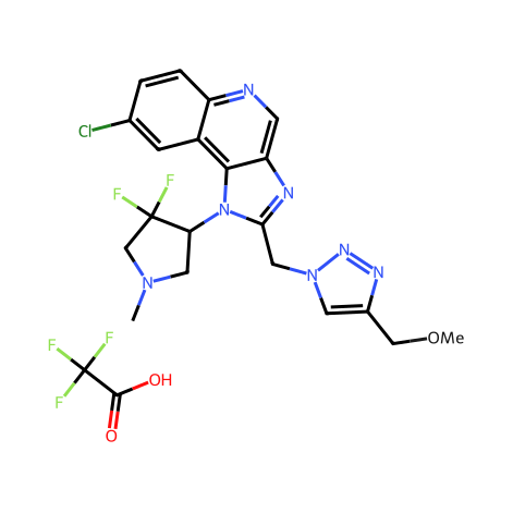 COCc1cn(Cc2nc3cnc4ccc(Cl)cc4c3n2C2CN(C)CC2(F)F)nn1.O=C(O)C(F)(F)F